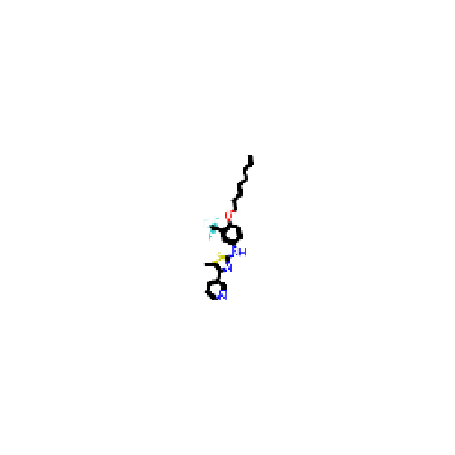 CCCCCCCCOc1ccc(Nc2nc(-c3cccnc3)c(C)s2)cc1C(F)(F)F